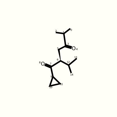 CC(C)C(=O)C[C@H](C(=O)C1CC1)C(C)C